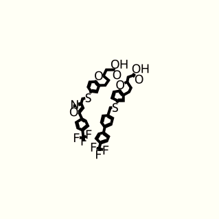 O=C(O)CC1CCc2cc(SCc3cc(-c4ccc(C(F)(F)F)cc4)on3)ccc2O1.O=C(O)CC1CCc2cc(SCc3ccc(-c4ccc(C(F)(F)F)cc4)cc3)ccc2O1